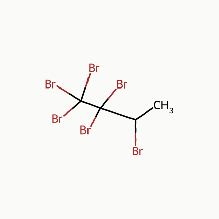 CC(Br)C(Br)(Br)C(Br)(Br)Br